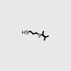 CC(C)=C(C)SCCCS